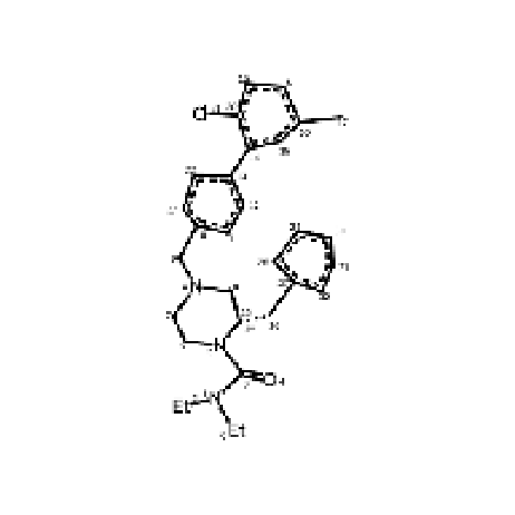 CCN(CC)C(=O)N1CCN(Cc2ccc(-c3cc(C)ccc3Cl)cc2)C[C@@H]1Cc1ccccc1